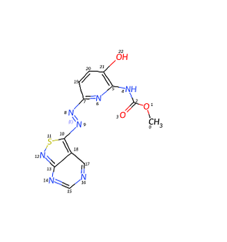 COC(=O)Nc1nc(/N=N/c2snc3ncncc23)ccc1O